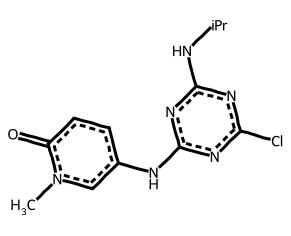 CC(C)Nc1nc(Cl)nc(Nc2ccc(=O)n(C)c2)n1